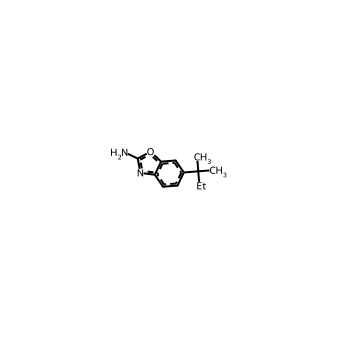 CCC(C)(C)c1ccc2nc(N)oc2c1